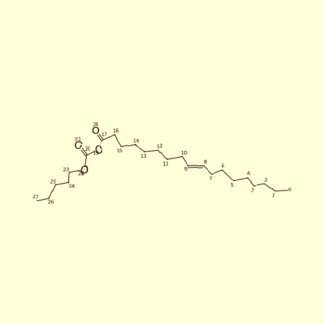 CCCCCCCCC=CCCCCCCCC(=O)OC(=O)OCCCCC